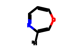 [2H]C1=COC=CC=N1